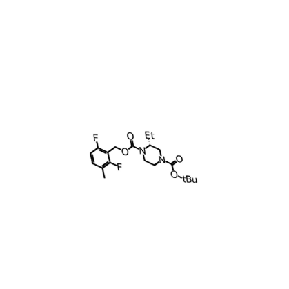 CC[C@@H]1CN(C(=O)OC(C)(C)C)CCN1C(=O)OCc1c(F)ccc(C)c1F